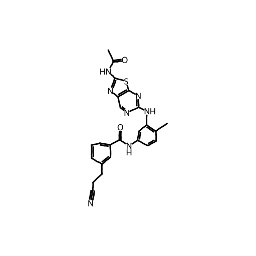 CC(=O)Nc1nc2cnc(Nc3cc(NC(=O)c4cccc(CCC#N)c4)ccc3C)nc2s1